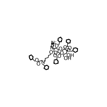 [N-]=[N+]=NC1C(OCc2ccccc2)[C@H](O[C@@H]2OC(CO)[C@@H](O)C(OCc3ccccc3)[C@@H]2OC(=O)c2ccccc2)C(COC(=O)c2ccccc2)O[C@H]1OCCCCCN(CC(=O)OCc1ccccc1)Cc1ccccc1